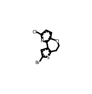 Clc1ccc2c(n1)-c1cc(Br)sc1CCO2